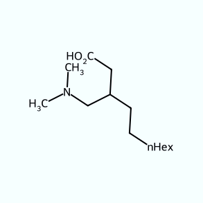 CCCCCCCCC(CC(=O)O)CN(C)C